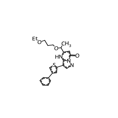 CCOCCCOC(C)c1cc(=O)n2ncc(-c3cc(-c4ccccc4)cs3)c2[nH]1